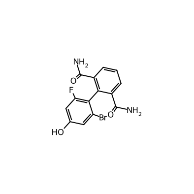 NC(=O)c1cccc(C(N)=O)c1-c1c(F)cc(O)cc1Br